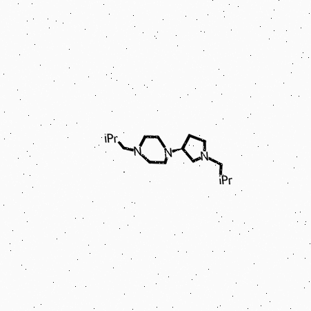 CC(C)CN1CCN([C@H]2CCN(CC(C)C)C2)CC1